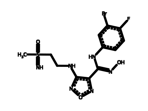 CS(=N)(=O)CCNc1nonc1/C(=N/O)Nc1ccc(F)c(Br)c1